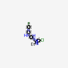 CCc1nc2cc(Cl)ccn2c1CNc1ccc(NC2CCN(c3ccc(F)cc3)CC2)cc1